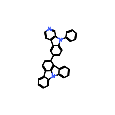 c1ccc(-n2c3ccc(-c4ccc5c6ccccc6n6c7ccccc7c4c56)cc3c3ccncc32)cc1